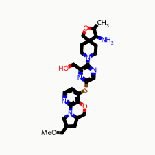 COCC1CC2COc3c(Sc4cnc(N5CCC6(CC5)COC(C)C6N)c(CO)n4)ccnc3N2C1